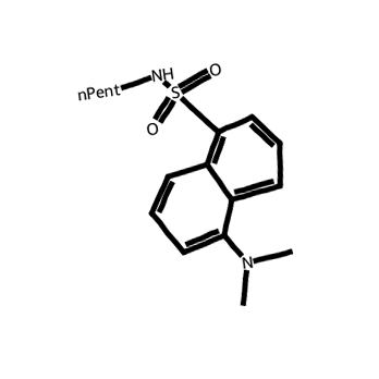 CCCCCNS(=O)(=O)c1cccc2c(N(C)C)cccc12